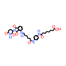 CN(C(=O)CCCCCNc1cccc2c1C(=O)N(C1CCC(=O)NC1=O)C2=O)c1ccc(NC(=O)CCCCCCC(=O)O)cc1